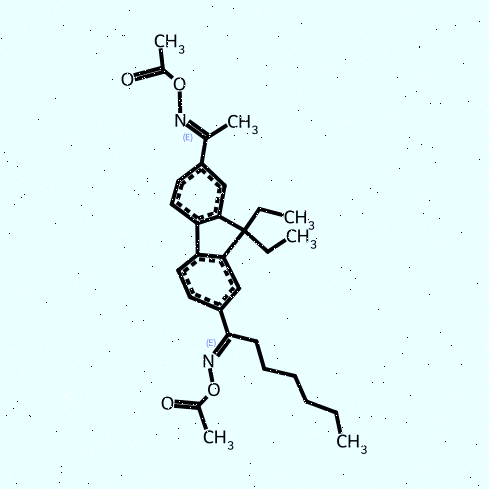 CCCCCC/C(=N\OC(C)=O)c1ccc2c(c1)C(CC)(CC)c1cc(/C(C)=N/OC(C)=O)ccc1-2